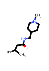 CC(C)C(C)CC(=O)NCC1CCN(C)CC1